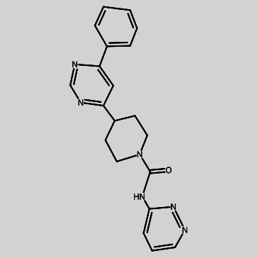 O=C(Nc1cccnn1)N1CCC(c2cc(-c3ccccc3)ncn2)CC1